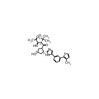 CC(=O)C(=N)[C@H](C(=O)C1C[C@H](O)C[C@H]1c1ncc(-c2cccc(-c3sccc3C)c2)[nH]1)C(C)(C)C